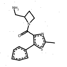 Cc1nc(C(=O)N2CCC2CN)c(-c2ccccc2)s1